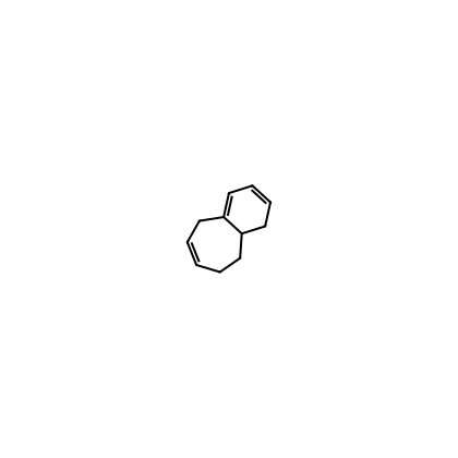 C1=CCC2CCC=CCC2=C1